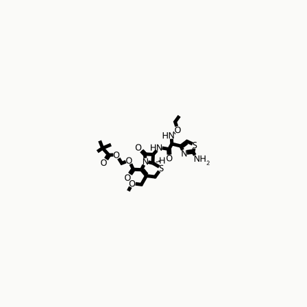 CCONC(C(=O)NC1C(=O)N2C(C(=O)OCOC(=O)C(C)(C)C)=C(COC)CS[C@H]12)c1csc(N)n1